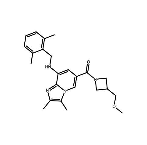 COCC1CN(C(=O)c2cc(NCc3c(C)cccc3C)c3nc(C)c(C)n3c2)C1